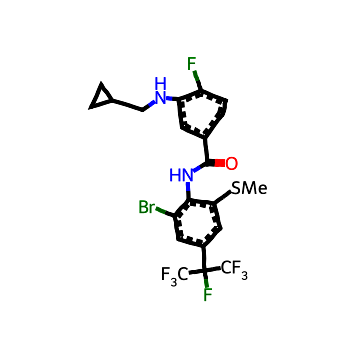 CSc1cc(C(F)(C(F)(F)F)C(F)(F)F)cc(Br)c1NC(=O)c1ccc(F)c(NCC2CC2)c1